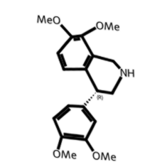 COc1ccc([C@H]2CNCc3c2ccc(OC)c3OC)cc1OC